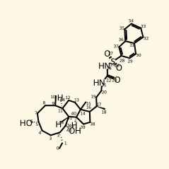 CC[C@@H]1CC[C@H](O)CCC(C)[C@H]2CCC3(C)C([C@H](C)CCNC(=O)NS(=O)(=O)c4ccc5ccccc5c4)CC[C@H]3[C@@H]2[C@@H]1O